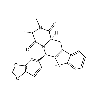 C[C@H]1C(=O)N2[C@H](c3ccc4c(c3)OCO4)c3[nH]c4ccccc4c3C[C@@H]2C(=O)N1C